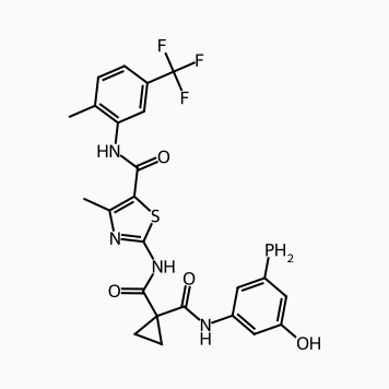 Cc1ccc(C(F)(F)F)cc1NC(=O)c1sc(NC(=O)C2(C(=O)Nc3cc(O)cc(P)c3)CC2)nc1C